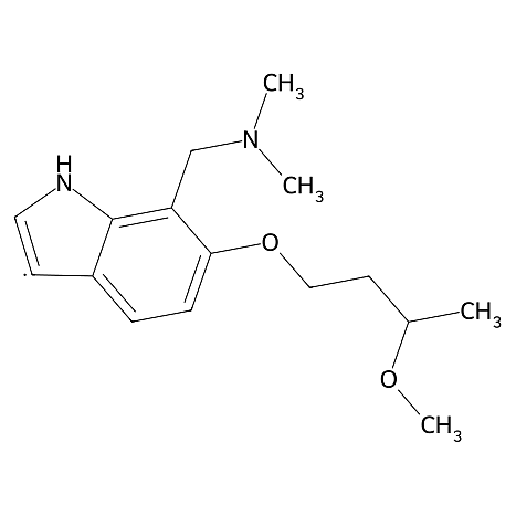 COC(C)CCOc1ccc2[c]c[nH]c2c1CN(C)C